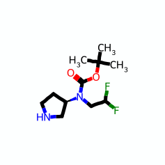 CC(C)(C)OC(=O)N(CC(F)F)[C@@H]1CCNC1